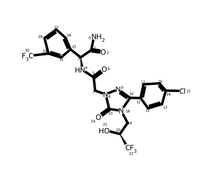 NC(=O)[C@@H](NC(=O)Cn1nc(-c2ccc(Cl)cc2)n(C[C@H](O)C(F)(F)F)c1=O)c1cccc(C(F)(F)F)c1